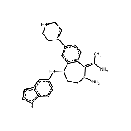 C/C(N)=C1\c2ccc(C3=CCNCC3)cc2C(Nc2ccc3[nH]ccc3c2)CCN1N